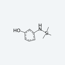 C[Si](C)(C)Nc1cccc(O)c1